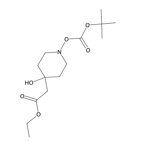 CCOC(=O)CC1(O)CCN(OC(=O)OC(C)(C)C)CC1